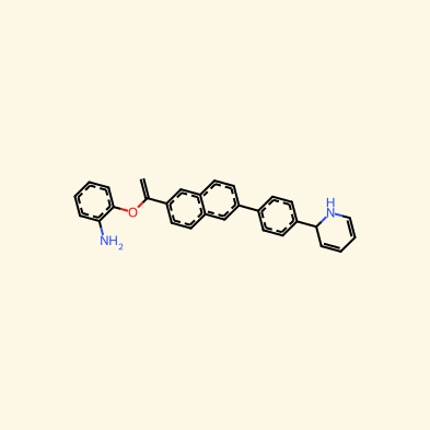 C=C(Oc1ccccc1N)c1ccc2cc(-c3ccc(C4C=CC=CN4)cc3)ccc2c1